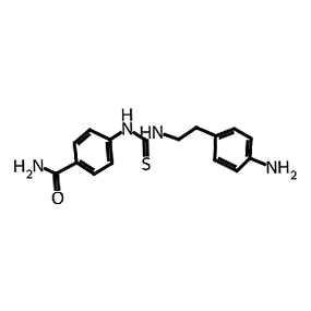 NC(=O)c1ccc(NC(=S)NCCc2ccc(N)cc2)cc1